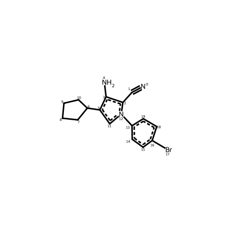 N#Cc1c(N)c(C2CCCC2)cn1-c1ccc(Br)cc1